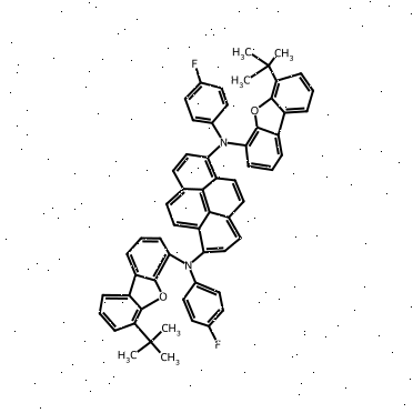 CC(C)(C)c1cccc2c1oc1c(N(c3ccc(F)cc3)c3ccc4ccc5c(N(c6ccc(F)cc6)c6cccc7c6oc6c(C(C)(C)C)cccc67)ccc6ccc3c4c65)cccc12